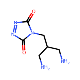 NCC(CN)CN1C(=O)N=NC1=O